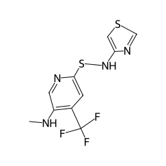 CNc1cnc(SNc2cscn2)cc1C(F)(F)F